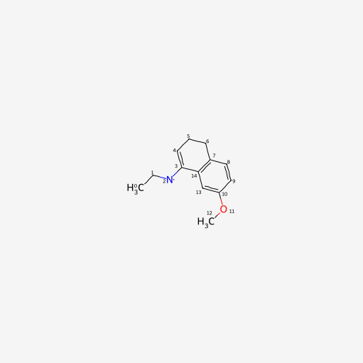 CC[N]C1=CCCc2ccc(OC)cc21